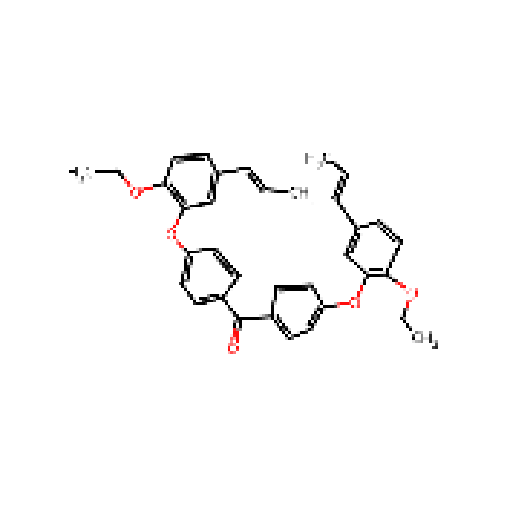 CC=Cc1ccc(OCC)c(Oc2ccc(C(=O)c3ccc(Oc4cc(C=CC)ccc4OCC)cc3)cc2)c1